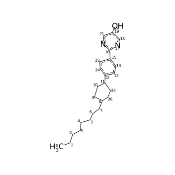 CCCCCCCCC1CCC(c2ccc(-c3ncc(O)cn3)cc2)CC1